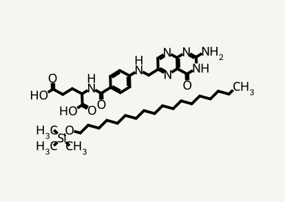 CCCCCCCCCCCCCCCCCCO[Si](C)(C)C.Nc1nc2ncc(CNc3ccc(C(=O)NC(CCC(=O)O)C(=O)O)cc3)nc2c(=O)[nH]1